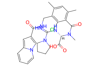 Cc1cc(C)c(C(=O)N(C)[C@@H](NC(=N)N2CCCC2)C(=O)O)c(Cl)c1CNC(=O)c1cc2ccccn2c1